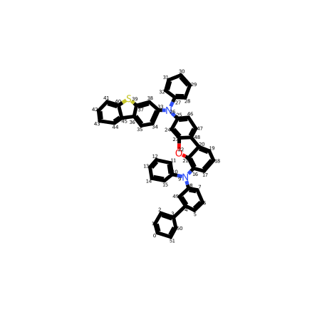 c1ccc(-c2cccc(N(c3ccccc3)c3cccc4c3oc3cc(N(c5ccccc5)c5ccc6c(c5)sc5ccccc56)ccc34)c2)cc1